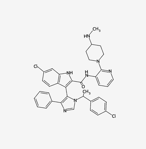 CNC1CCN(c2ncccc2NC(=O)c2[nH]c3cc(Cl)ccc3c2-c2c(-c3ccccc3)ncn2C(C)c2ccc(Cl)cc2)CC1